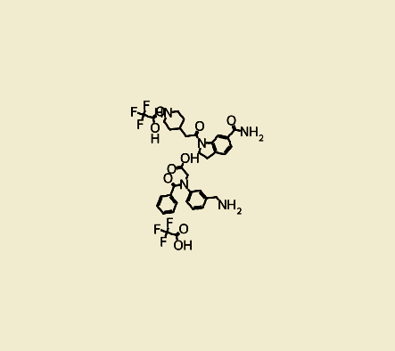 NC(=O)c1ccc2c(c1)N(C(=O)CC1CCNCC1)CC2.NCc1cccc(N(CC(=O)O)C(=O)c2ccccc2)c1.O=C(O)C(F)(F)F.O=C(O)C(F)(F)F